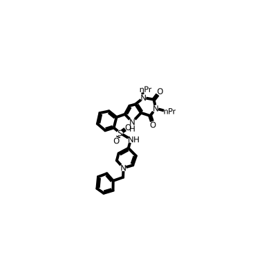 CCCn1c(=O)c2[nH]c(-c3ccccc3S(=O)(=O)NC3=CCN(Cc4ccccc4)C=C3)cc2n(CCC)c1=O